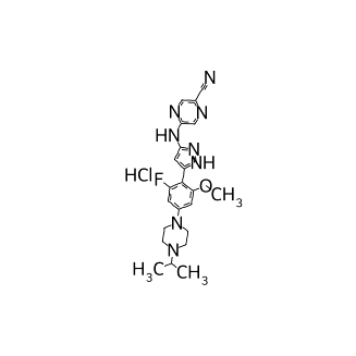 COc1cc(N2CCN(C(C)C)CC2)cc(F)c1-c1cc(Nc2cnc(C#N)cn2)n[nH]1.Cl